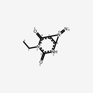 CCn1c(=O)[nH]c2c(c1=O)[N+]2=[N-]